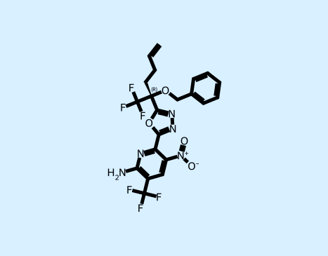 C=CCC[C@@](OCc1ccccc1)(c1nnc(-c2nc(N)c(C(F)(F)F)cc2[N+](=O)[O-])o1)C(F)(F)F